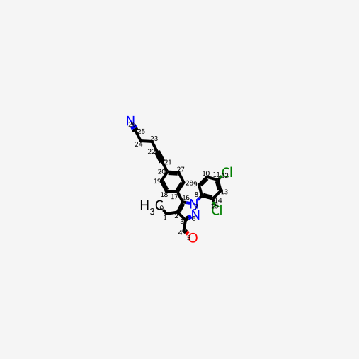 CCc1c(C=O)nn(-c2ccc(Cl)cc2Cl)c1-c1ccc(C#CCCC#N)cc1